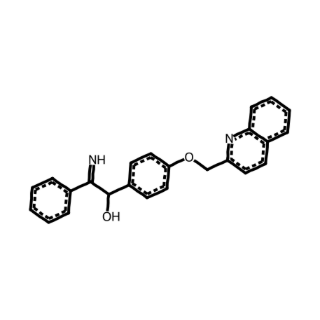 N=C(c1ccccc1)C(O)c1ccc(OCc2ccc3ccccc3n2)cc1